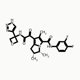 Cc1c(C(=O)C(=O)NC2(c3c[nH]nn3)COC2)c2n(c1C(=O)Nc1ccc(F)c(F)c1)[C@H](C)[C@H](C)C2